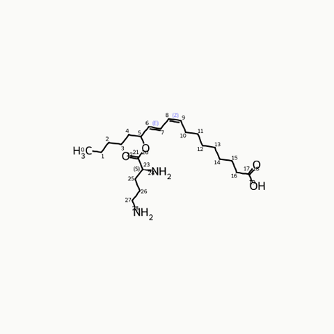 CCCCCC(/C=C/C=C\CCCCCCCC(=O)O)OC(=O)[C@@H](N)CCCN